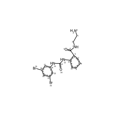 NCCNC(=O)c1ccccc1NC(=O)Nc1cc(Br)cc(Br)c1